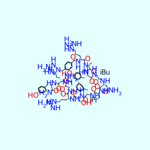 CC[C@H](C)[C@H](NC(=O)[C@H](Cc1ccc(O)cc1)NC(=O)[C@H](C)NC(=O)[C@H](CCCNC(=N)N)NC(=O)c1ccc(CN)cc1)C(=O)N[C@@H](CC(N)=O)C(=O)N[C@@H](CC(C)C)C(=O)N[C@@H](Cc1ccccc1)C(=O)N[C@H](C(=O)N[C@@H](CCCNC(=N)N)C(=O)N[C@@H](CCC(N)=O)C(=O)N[C@@H](CCCNC(=N)N)C(=O)N[C@@H](Cc1ccc(O)cc1)C(N)=O)[C@@H](C)O